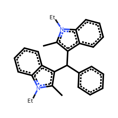 CCn1c(C)c(C(c2ccccc2)c2c(C)n(CC)c3ccccc23)c2ccccc21